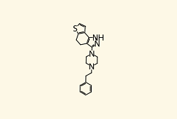 c1ccc(CCN2CCN(c3n[nH]c4c3CCc3sccc3-4)CC2)cc1